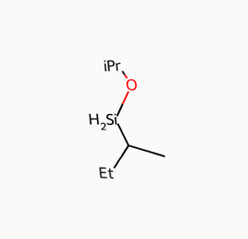 CCC(C)[SiH2]OC(C)C